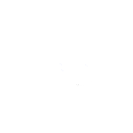 COC(=O)c1cnc(-c2cc(Cl)cc3c2cnn3S(=O)(=O)c2ccccc2)o1